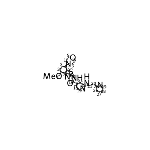 COc1ccc(N2CCOCC2)c2sc(NC(=O)c3ccnc(NCCc4ccccn4)c3)nc12